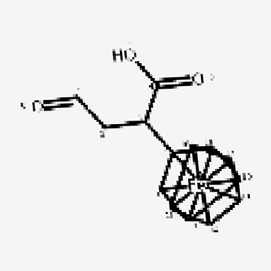 O=CCC(C(=O)O)[C]12[CH]3[CH]4[CH]5[CH]1[Fe]45321678[CH]2[CH]1[CH]6[CH]7[CH]28